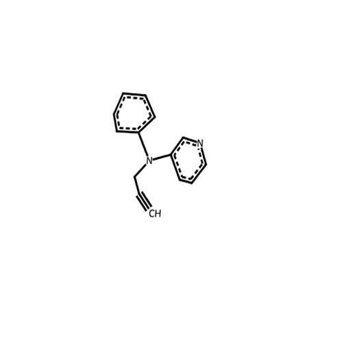 C#CCN(c1ccccc1)c1cccnc1